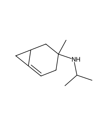 CC(C)NC1(C)CC=C2CC2C1